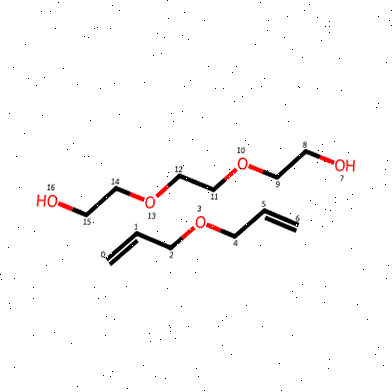 C=CCOCC=C.OCCOCCOCCO